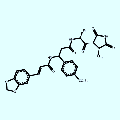 CCOC(=O)c1ccc(C(CC(=O)N[C@H](C(=O)[C@@H]2C(=O)NC(=O)[C@H]2C)C(C)C)NC(=O)/C=C/c2ccc3c(c2)OCO3)cc1